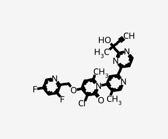 C#CC(C)(O)c1nccc(-c2cc(-n3c(C)cc(OCc4ncc(F)cc4F)c(Cl)c3=O)c(C)cn2)n1